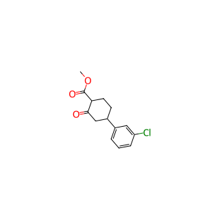 COC(=O)C1CCC(c2cccc(Cl)c2)CC1=O